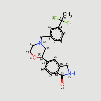 CC(F)(F)c1cccc(CN2CCO[C@H](c3ccc4c(c3)CNC4=O)C2)c1